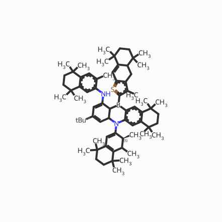 Cc1cc2c(cc1NC1=CC(C(C)(C)C)=CC3C1B(c1sc4c(c1C)CC1C(=C4)C(C)(C)CCC1(C)C)c1cc4c(cc1N3C1=CC3=C(C(C)[C@@H]1C)C(C)(C)CCC3(C)C)C(C)(C)CCC4(C)C)C(C)(C)CCC2(C)C